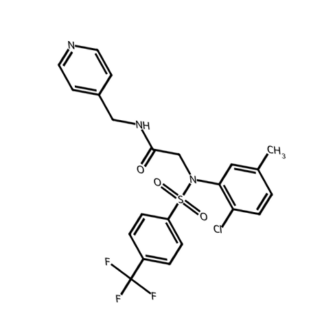 Cc1ccc(Cl)c(N(CC(=O)NCc2ccncc2)S(=O)(=O)c2ccc(C(F)(F)F)cc2)c1